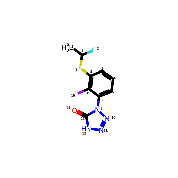 BC(F)Sc1cccc(-n2nn[nH]c2=O)c1I